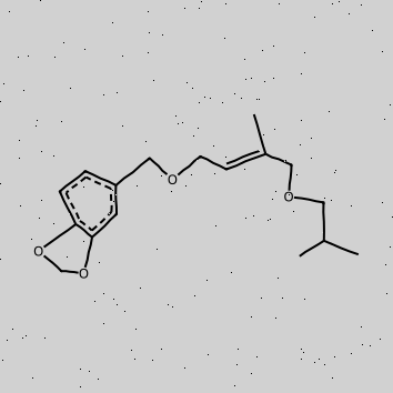 C/C(=C\COCc1ccc2c(c1)OCO2)COCC(C)C